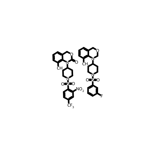 Cc1cccc2c1N(C1CCN(S(=O)(=O)c3ccc(C(F)(F)F)cc3[N+](=O)[O-])CC1)C(=O)OC2.Cc1cccc2c1N(C1CCN(S(=O)(=O)c3cccc(F)c3)CC1)COC2